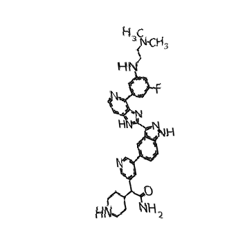 CN(C)CCNc1cc(F)cc(-c2nccc3[nH]c(-c4n[nH]c5ccc(-c6cncc(C(C(N)=O)C7CCNCC7)c6)cc45)nc23)c1